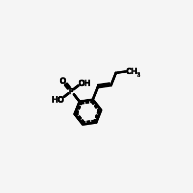 CCC=Cc1ccccc1P(=O)(O)O